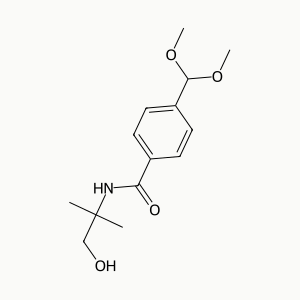 COC(OC)c1ccc(C(=O)NC(C)(C)CO)cc1